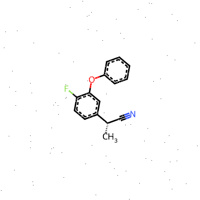 C[C@@H](C#N)c1ccc(F)c(Oc2ccccc2)c1